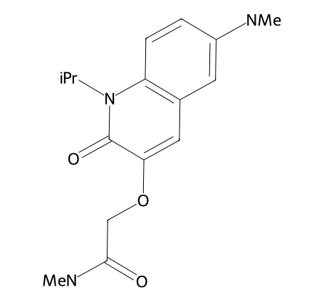 CNC(=O)COc1cc2cc(NC)ccc2n(C(C)C)c1=O